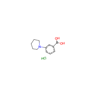 Cl.OB(O)c1cccc(N2CCCCC2)c1